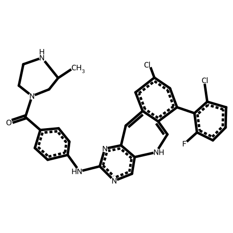 CC1CN(C(=O)c2ccc(Nc3ncc4c(n3)C=c3cc(Cl)cc(-c5c(F)cccc5Cl)c3=CN4)cc2)CCN1